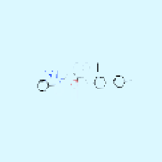 Cc1ccc(-c2ccc(CC[C@@H](O)[C@H](CCn3nnc4cc(C)ccc4c3=O)C(=O)O)cc2)cc1